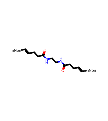 CCCCCCCCCC=CCCC(=O)NCCNC(=O)CCC=CCCCCCCCCC